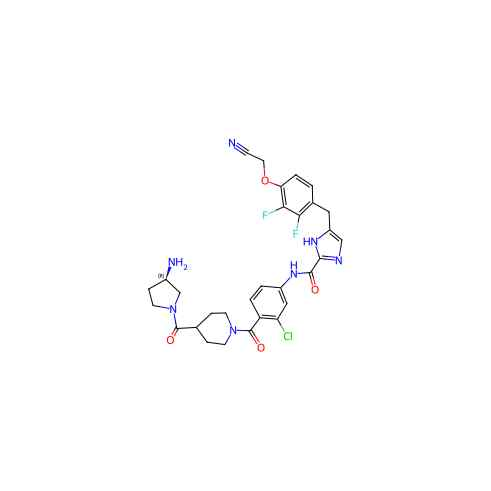 N#CCOc1ccc(Cc2cnc(C(=O)Nc3ccc(C(=O)N4CCC(C(=O)N5CC[C@@H](N)C5)CC4)c(Cl)c3)[nH]2)c(F)c1F